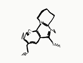 CSc1nc2[n+](c3[c-]nc(Br)cc13)CCC2